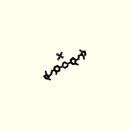 Cc1cc(N2CCN(c3ccc(/N=N/c4n(C)cc[n+]4C)c(C)c3)CC2)ccc1/N=N/c1n(C)cc[n+]1C.O=S(=O)([O-])[O-]